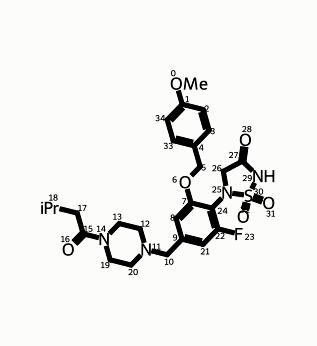 COc1ccc(COc2cc(CN3CCN(C(=O)CC(C)C)CC3)cc(F)c2N2CC(=O)NS2(=O)=O)cc1